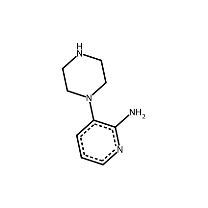 Nc1ncccc1N1CCNCC1